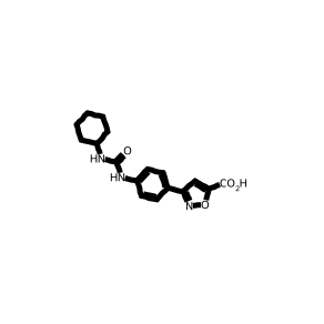 O=C(Nc1ccc(-c2cc(C(=O)O)on2)cc1)NC1CCCCC1